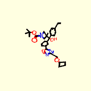 CCc1ccc([C@](O)(c2cccc(-c3nc(COC4CCC4)no3)c2)C2(C)CN(C(=O)OC(C)(C)C)C2)cc1